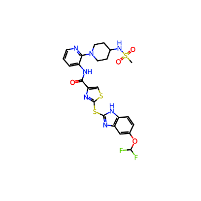 CS(=O)(=O)NC1CCN(c2ncccc2NC(=O)c2csc(Sc3nc4cc(OC(F)F)ccc4[nH]3)n2)CC1